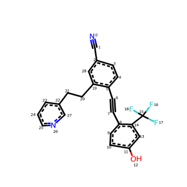 N#Cc1ccc(C#Cc2ccc(O)cc2C(F)(F)F)c(CCc2cccnc2)c1